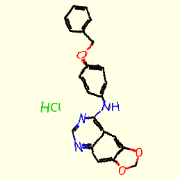 Cl.c1ccc(COc2ccc(Nc3ncnc4cc5c(cc34)OCO5)cc2)cc1